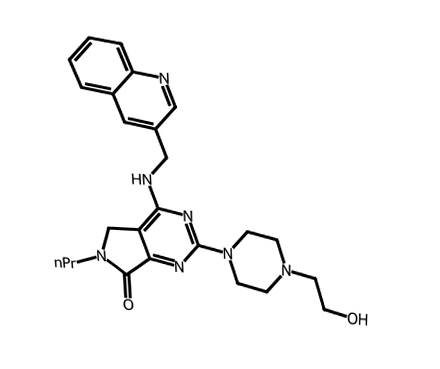 CCCN1Cc2c(NCc3cnc4ccccc4c3)nc(N3CCN(CCO)CC3)nc2C1=O